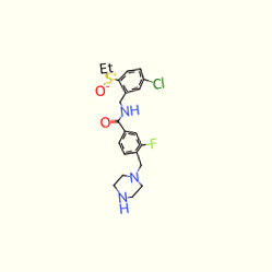 CC[S+]([O-])c1ccc(Cl)cc1CNC(=O)c1ccc(CN2CCNCC2)c(F)c1